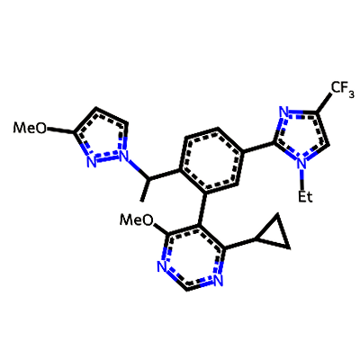 CCn1cc(C(F)(F)F)nc1-c1ccc(C(C)n2ccc(OC)n2)c(-c2c(OC)ncnc2C2CC2)c1